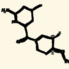 CC(C)O[C@H]1CCN(C(=O)C2CN(C)CC(N)N2)C[C@H]1F